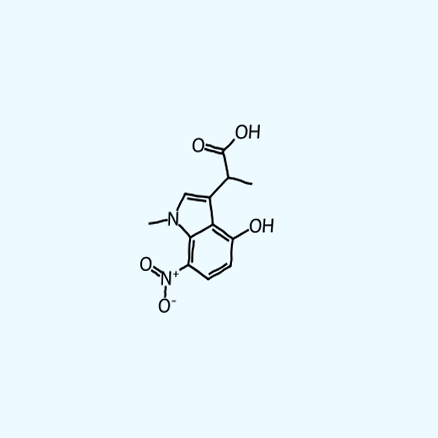 CC(C(=O)O)c1cn(C)c2c([N+](=O)[O-])ccc(O)c12